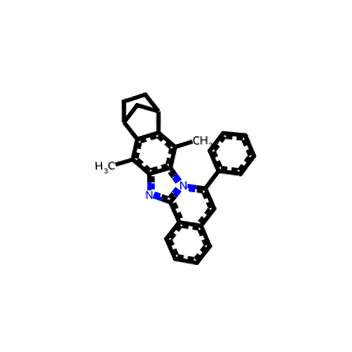 Cc1c2c(c(C)c3c1nc1c4ccccc4cc(-c4ccccc4)n13)C1CCC2C1